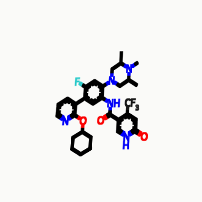 CC1CN(c2cc(F)c(-c3cccnc3OC3CCCCC3)cc2NC(=O)c2c[nH]c(=O)cc2C(F)(F)F)CC(C)N1C